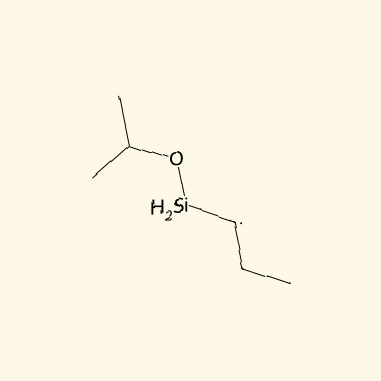 CC[CH][SiH2]OC(C)C